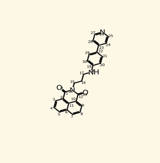 O=C1c2cccc3cccc(c23)C(=O)N1CCCNc1ccc(-c2ccncc2)cc1